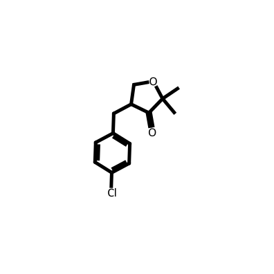 CC1(C)OCC(Cc2ccc(Cl)cc2)C1=O